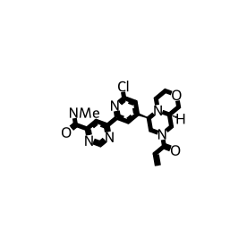 C=CC(=O)N1C[C@@H]2COCCN2[C@H](c2cc(Cl)nc(-c3cc(C(=O)NC)ncn3)c2)C1